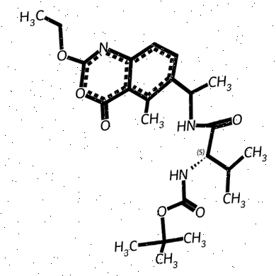 CCOc1nc2ccc(C(C)NC(=O)[C@@H](NC(=O)OC(C)(C)C)C(C)C)c(C)c2c(=O)o1